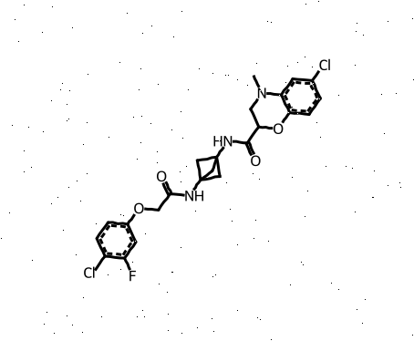 CN1CC(C(=O)NC23CC(NC(=O)COc4ccc(Cl)c(F)c4)(C2)C3)Oc2ccc(Cl)cc21